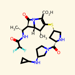 C[C@@H](NC(=O)C(F)F)[C@H]1C(=O)N2C(C(=O)O)=C(S[C@@H]3CN[C@H](C(=O)N4CC[C@H](NC5CC5)C4)C3)[C@H](C)[C@H]12